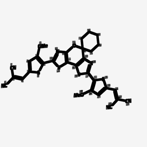 COc1cc(C=C(C#N)C#N)sc1-c1nc2c(s1)-c1sc(-c3sc(C=C(C#N)C#N)cc3OC)nc1C1(CCCCC1)O2